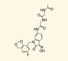 CC(=O)NCC(=O)NCC(=O)Nc1ccc2c(c1)N(Cc1cc(F)cc3c1OCOC3)C(=O)/C2=N\O